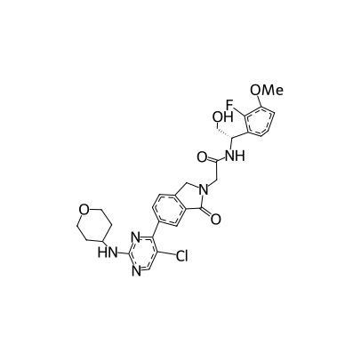 COc1cccc([C@@H](CO)NC(=O)CN2Cc3ccc(-c4nc(NC5CCOCC5)ncc4Cl)cc3C2=O)c1F